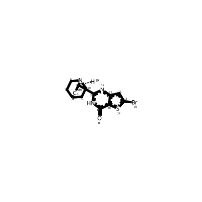 O=c1[nH]c([C@H]2CC3CCN2CC3)nc2cc(Br)sc12